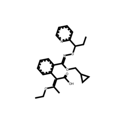 CCOC(C)=C(C(=O)O)c1ccccc1C(=NOC(CC)c1ccccn1)OCC1CC1